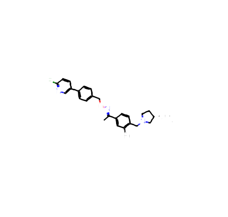 CCc1cc(/C(C)=N/OCc2ccc(-c3ccc(F)nc3)cc2)ccc1CN1CC[C@H](C(=O)O)C1